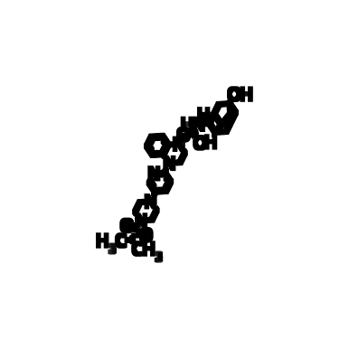 CC(C)S(=O)(=O)N1CCN(c2ccc(N3CCN(OC(=O)NC4[C@@H]5CC6C[C@H]4CC(O)(C6)C5)c4ccccc43)nc2)CC1